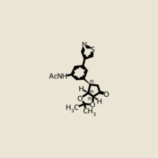 CC(=O)Nc1cc(-c2cnsc2)cc([C@H]2CC(=O)[C@@H]3OC(C)(C)O[C@H]23)c1